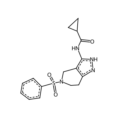 O=C(Nc1[nH]nc2c1CN(S(=O)(=O)c1ccccc1)CC2)C1CC1